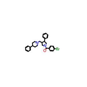 O=C(c1ccc(Br)cc1)N1CC(CN2CCC(c3ccccc3)CC2)C(c2ccccc2)C1